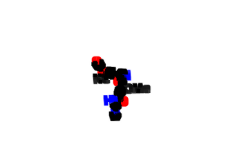 COc1cc(C(=O)NC2CC(N3CCCC3)C2)ccc1-c1cc2nccc(-c3ccc(OC4CCOCC4)c(C#N)c3)c2o1